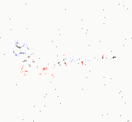 C#CCC(=O)SCCNC(=O)CCNC(=O)[C@H](O)C(C)(C)COP(=O)(O)OP(=O)(O)OC[C@H]1O[C@@H](n2cnc3c(N)ncnc32)[C@H](O)[C@@H]1OP(=O)(O)O